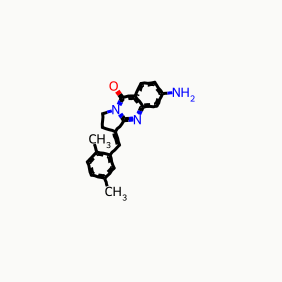 Cc1ccc(C)c(C=C2CCn3c2nc2cc(N)ccc2c3=O)c1